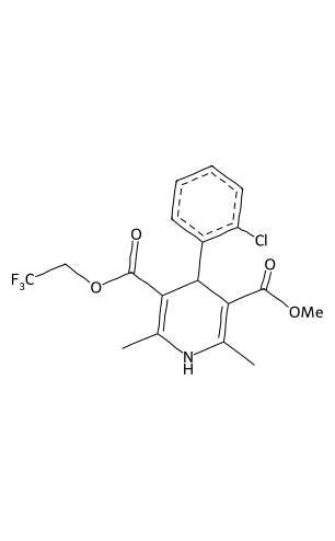 COC(=O)C1=C(C)NC(C)=C(C(=O)OCC(F)(F)F)C1c1ccccc1Cl